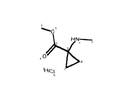 CNC1(C(=O)OC)CC1.Cl